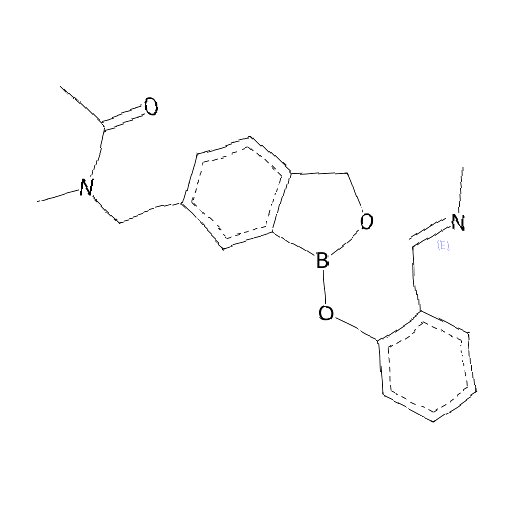 C/N=C/c1ccccc1OB1OCc2ccc(CN(C)C(C)=O)cc21